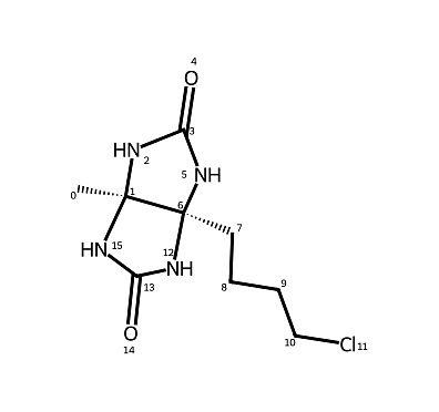 C[C@]12NC(=O)N[C@@]1(CCCCCl)NC(=O)N2